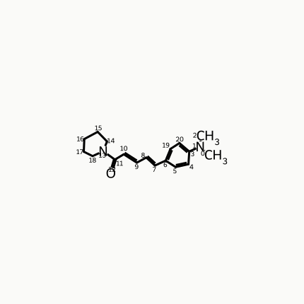 CN(C)c1ccc(/C=C/C=C/C(=O)N2CCCCC2)cc1